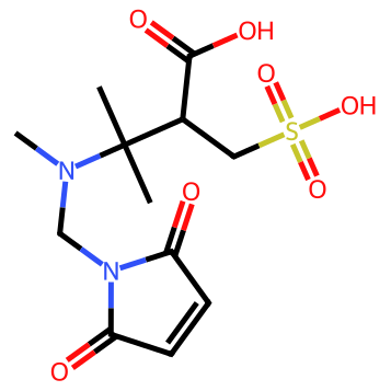 CN(CN1C(=O)C=CC1=O)C(C)(C)C(CS(=O)(=O)O)C(=O)O